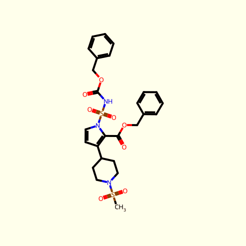 CS(=O)(=O)N1CCC(c2ccn(S(=O)(=O)NC(=O)OCc3ccccc3)c2C(=O)OCc2ccccc2)CC1